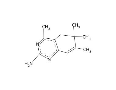 CC1=Cc2nc(N)nc(C)c2CC1(C)C